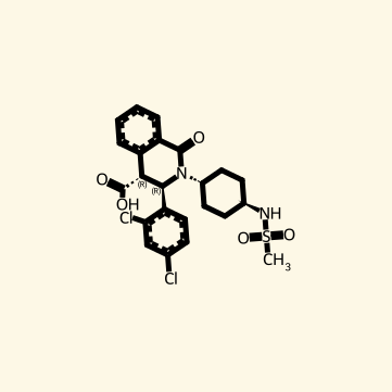 CS(=O)(=O)N[C@H]1CC[C@H](N2C(=O)c3ccccc3[C@@H](C(=O)O)[C@@H]2c2ccc(Cl)cc2Cl)CC1